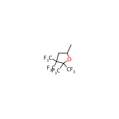 CC1CC(C(F)(F)F)(C(F)(F)F)C(C(F)(F)F)(C(F)(F)F)O1